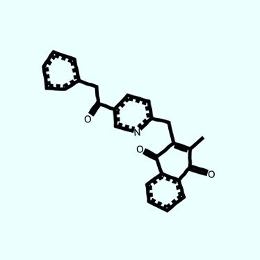 CC1=C(Cc2ccc(C(=O)Cc3ccccc3)cn2)C(=O)c2ccccc2C1=O